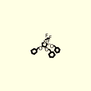 FC(F)(F)CN1C[C@@H](OCc2ccccc2)[C@H](OCc2ccccc2)[C@H]1COCc1ccccc1